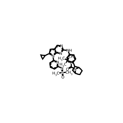 CC(C)(C)OC(=O)N1C2CCC1C(c1ccc(Nc3ncc4cc(C5CC5)n(-c5cccc(N=S(C)(C)=O)n5)c4n3)cc1)C2